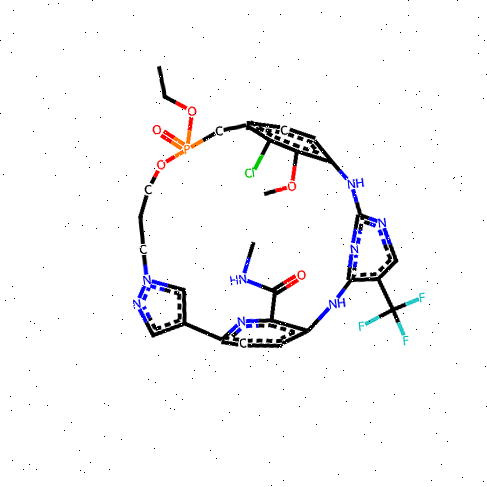 CCOP1(=O)Cc2ccc(c(OC)c2Cl)Nc2ncc(C(F)(F)F)c(n2)Nc2ccc(nc2C(=O)NC)-c2cnn(c2)CCCO1